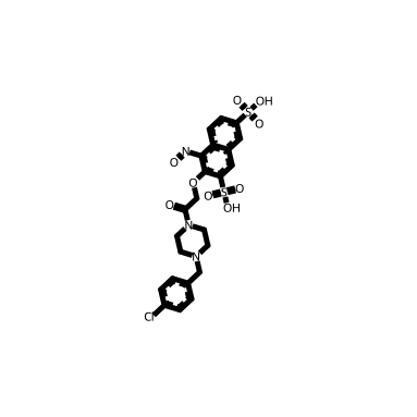 O=Nc1c(OCC(=O)N2CCN(Cc3ccc(Cl)cc3)CC2)c(S(=O)(=O)O)cc2cc(S(=O)(=O)O)ccc12